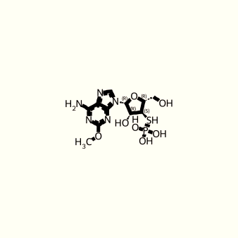 COc1nc(N)c2ncn([C@@H]3O[C@H](CO)[C@@H]([SH]=P(O)(O)O)[C@@H]3O)c2n1